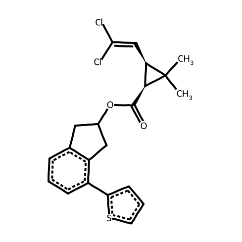 CC1(C)[C@H](C=C(Cl)Cl)[C@@H]1C(=O)OC1Cc2cccc(-c3cccs3)c2C1